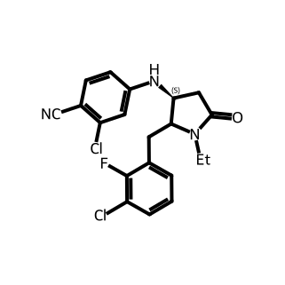 CCN1C(=O)C[C@H](Nc2ccc(C#N)c(Cl)c2)C1Cc1cccc(Cl)c1F